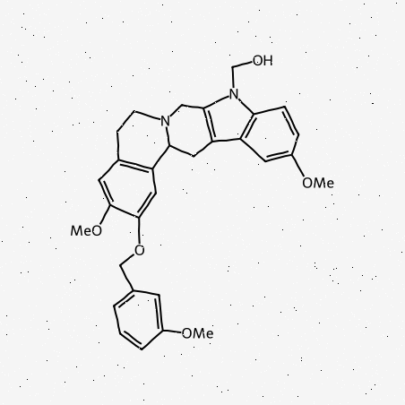 COc1cccc(COc2cc3c(cc2OC)CCN2Cc4c(c5cc(OC)ccc5n4CO)CC32)c1